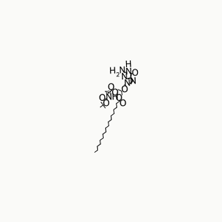 CCCCCCCCCCCCCCCCCC(=O)OCC(COC(=O)[C@H](C)NC(=O)OC(C)(C)C)OCn1cnc2c(=O)[nH]c(N)nc21